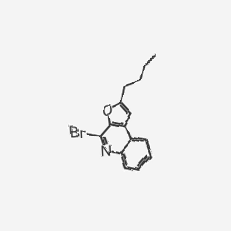 CCCCc1cc2c(o1)c(Br)nc1ccccc12